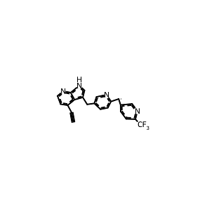 C#Cc1ccnc2[nH]cc(Cc3ccc([CH]c4ccc(C(F)(F)F)nc4)nc3)c12